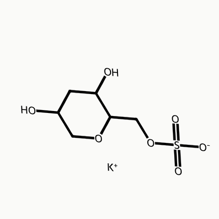 O=S(=O)([O-])OCC1OCC(O)CC1O.[K+]